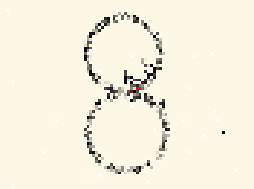 Fc1cccc(Oc2cc(C(F)(F)F)nc(N3CCCNCCCCCCCCCCCCCCCCCCCCCCCCCCCCCCCCCCCCCCCCC4(CCCCCCCCCCCCCCCCCCCCCCCCCCCCCCCCCCCCCCCCCCCCCC45OCCO5)C3)n2)c1